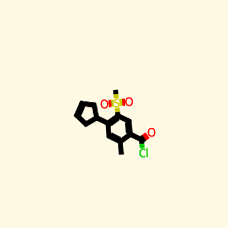 Cc1cc(C2CC=CC2)c(S(C)(=O)=O)cc1C(=O)Cl